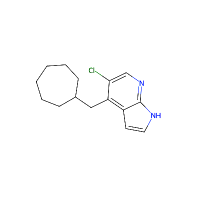 Clc1cnc2[nH]ccc2c1CC1CCCCCC1